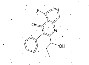 CCC(O)c1nc2cccc(F)c2c(=O)n1-c1ccccc1